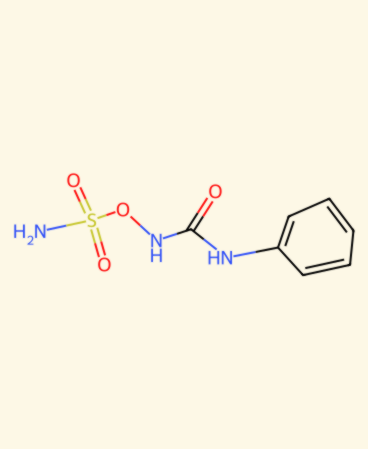 NS(=O)(=O)ONC(=O)Nc1ccccc1